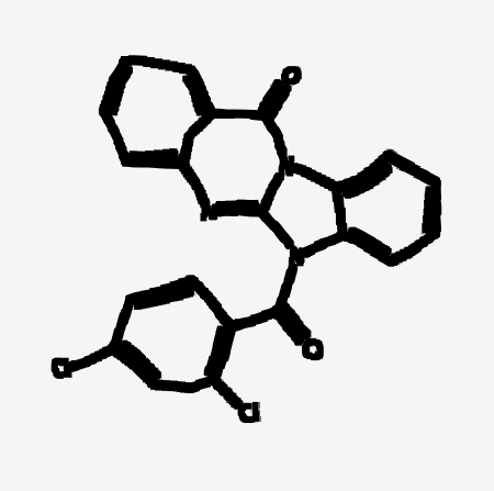 O=C(c1ccc(Cl)cc1Cl)n1c2ccccc2n2c(=O)c3ccccc3nc12